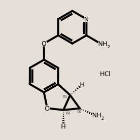 Cl.Nc1cc(Oc2ccc3c(c2)[C@H]2[C@H](N)[C@H]2O3)ccn1